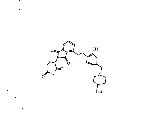 Cc1cc(CN2CCC(C(C)(C)C)CC2)ccc1CNc1cccc2c1C(=O)N(C1CCC(=O)NC1=O)C2=O